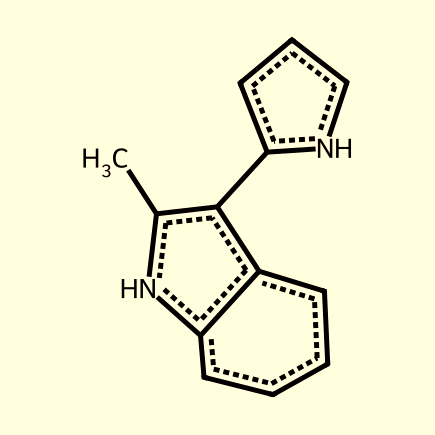 Cc1[nH]c2ccccc2c1-c1ccc[nH]1